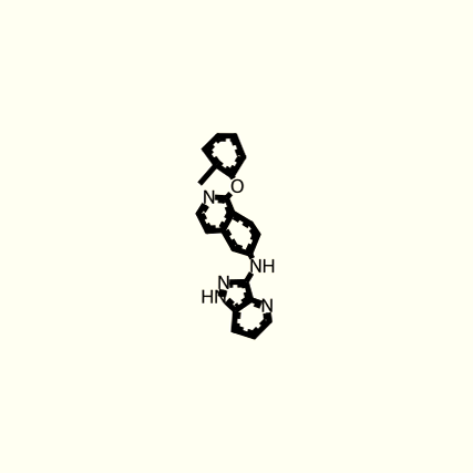 Cc1ccccc1Oc1nccc2cc(Nc3n[nH]c4cccnc34)ccc12